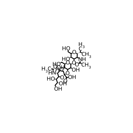 CC(=O)NC1C(O[C@@H]2OC(CO)[C@H](O)C(O[C@]3(C(=O)O)CC(O)[C@@H](NC(C)=O)C([C@H](O)[C@H](O)CO)O3)C2O)[C@@H](O)C(CO)O[C@@H]1C(C)C